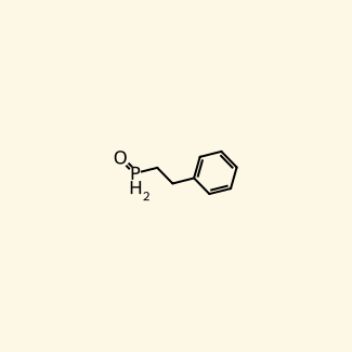 O=[PH2]CCc1ccccc1